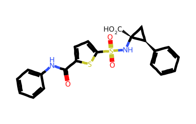 O=C(Nc1ccccc1)c1ccc(S(=O)(=O)N[C@]2(C(=O)O)C[C@H]2c2ccccc2)s1